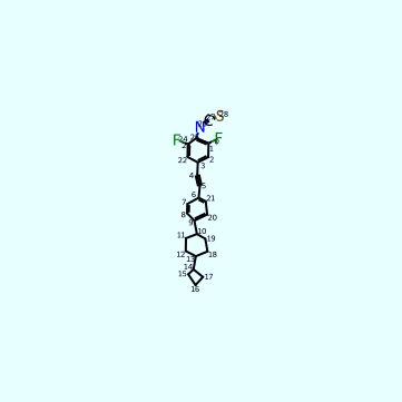 Fc1cc(C#Cc2ccc(C3CCC(C4CCC4)CC3)cc2)cc(F)c1N=C=S